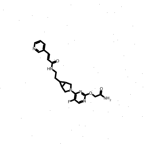 NC(=O)COc1ncc(F)c(N2CC3C(CCNC(=O)/C=C/c4cccnc4)C3C2)n1